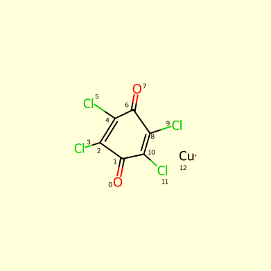 O=C1C(Cl)=C(Cl)C(=O)C(Cl)=C1Cl.[Cu]